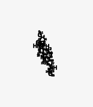 CCOc1ccc(F)c(S(=O)(=O)Nc2cc(F)c(-c3nn(C(C)C)c4c(C5CCC(NCC(C)(C)OC)CC5)cnc(N)c34)cc2F)c1